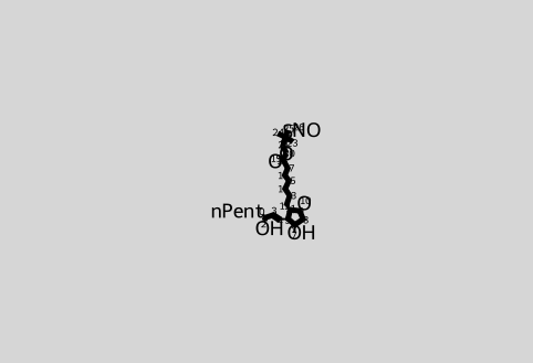 CCCCC[C@H](O)/C=C/[C@@H]1[C@H](O)CC(=O)[C@@H]1CCCCCCC(=O)OCC(C)(C)SN=O